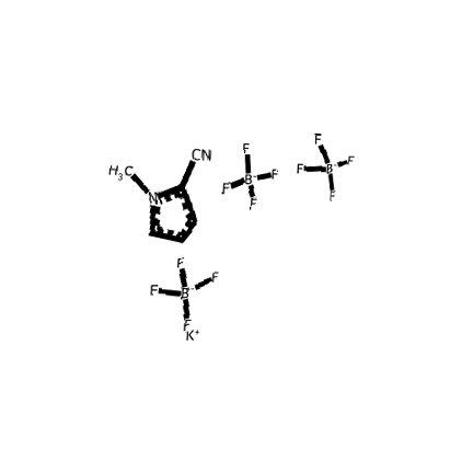 Cn1cccc1C#N.F[B-](F)(F)F.F[B-](F)(F)F.F[B-](F)(F)F.[K+]